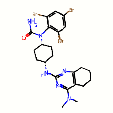 CN(C)c1nc(N[C@H]2CC[C@@H](N(C(N)=O)c3c(Br)cc(Br)cc3Br)CC2)nc2c1CCCC2